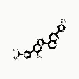 Cc1nn2c(-c3ccnc4nc(-c5cn(C)cn5)ccc34)cnc2cc1-c1cnn(C(C)C)c1